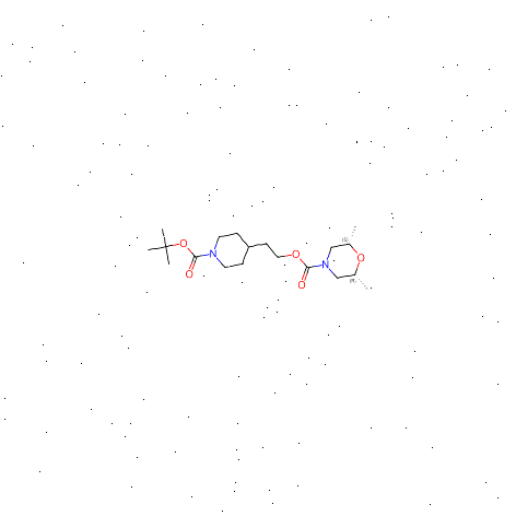 C[C@@H]1CN(C(=O)OCCC2CCN(C(=O)OC(C)(C)C)CC2)C[C@H](C)O1